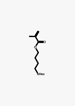 [CH2]CCCCCCCCCOC(=O)C(=C)C